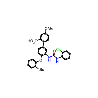 COc1ccc(-c2ccc(Oc3ccccc3C(C)(C)C)c(NC(=O)Nc3ccccc3Cl)c2)c(C(=O)O)c1